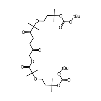 CC(C)(C)OC(=O)OC(C)(C)CCOC(C)(C)C(=O)CCC(=O)COC(=O)C(C)(C)OCCC(C)(C)OC(=O)OC(C)(C)C